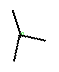 CCCCCCCCCCCCCCCCC(C)(C)C(Cl)(CCCCCCCCCCCCCCCC)CCCCCCCCCCCCCCCC